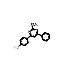 CSc1nc(-c2ccccc2)cc(-c2ccc(O)cc2)n1